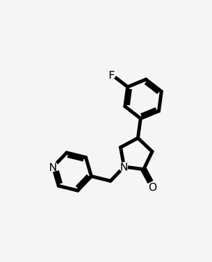 O=C1CC(c2cccc(F)c2)CN1Cc1ccncc1